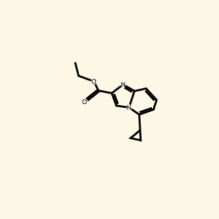 CCOC(=O)c1cn2c(C3CC3)cccc2n1